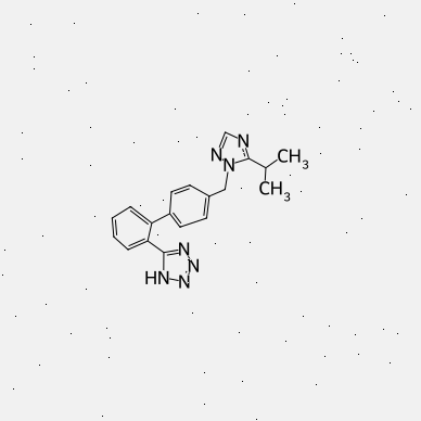 CC(C)c1ncnn1Cc1ccc(-c2ccccc2-c2nnn[nH]2)cc1